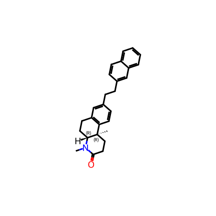 CN1C(=O)CC[C@]2(C)c3ccc(CCc4ccc5ccccc5c4)cc3CC[C@@H]12